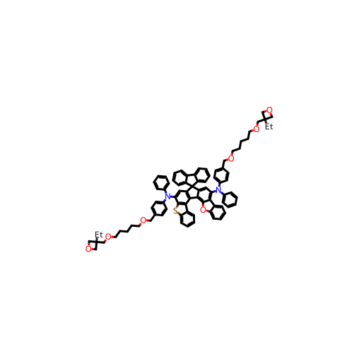 CCC1(COCCCCCOCc2ccc(N(c3ccccc3)c3cc4c(c5c3sc3ccccc35)-c3c(cc(N(c5ccccc5)c5ccc(COCCCCCOCC6(CC)COC6)cc5)c5c3oc3ccccc35)C43c4ccccc4-c4ccccc43)cc2)COC1